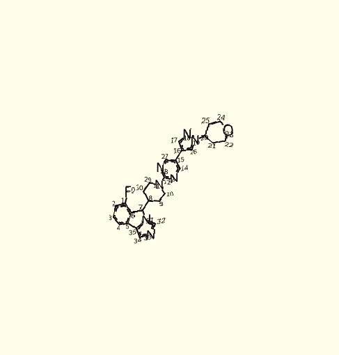 Fc1cccc2c1C(C1CCN(c3ncc(-c4cnn(C5CCOCC5)c4)cn3)CC1)n1cncc1-2